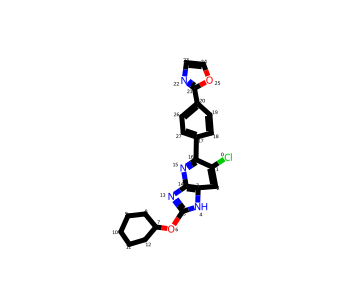 Clc1cc2[nH]c(OC3CCCCC3)nc2nc1-c1ccc(-c2ncco2)cc1